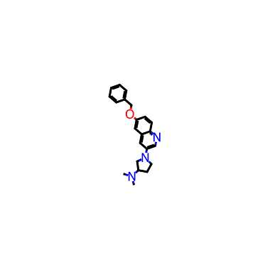 CN(C)C1CCN(c2cnc3ccc(OCc4ccccc4)cc3c2)C1